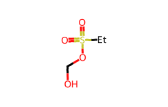 CCS(=O)(=O)OCO